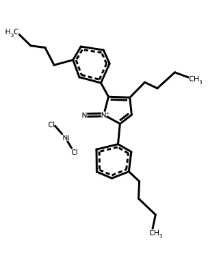 CCCCC1=C(c2cccc(CCCC)c2)[N+](=[N-])C(c2cccc(CCCC)c2)=C1.[Cl][Ni][Cl]